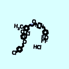 Cc1cc(/C=C/C(=O)N2CCN(Cc3ccc(OC(F)(F)F)cc3)CC2)cc(Cl)c1Oc1ccc(OCCc2ccc(Cl)cc2)cn1.Cl